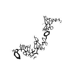 CCOC(=O)[C@@H](CCC(=O)OCc1ccc(NC(=O)[C@H](CC(N)=O)NC(=O)[C@H](C)N)cc1)NC(=O)/C(C)=C/[C@H](C(C)C)N(C)C(=O)[C@@H](NC(=O)[C@@H](NC)C(C)(C)c1cn(C)c2ccccc12)C(C)(C)C